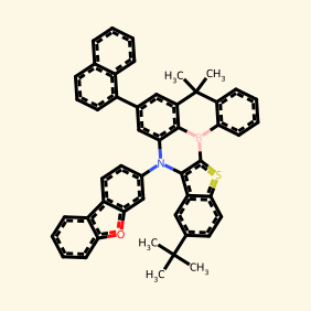 CC(C)(C)c1ccc2sc3c(c2c1)N(c1ccc2c(c1)oc1ccccc12)c1cc(-c2cccc4ccccc24)cc2c1B3c1ccccc1C2(C)C